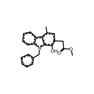 COC(=O)Cc1cc(C)c2c3ccccc3n(Cc3ccccc3)c2c1O